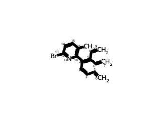 C=C/C=C\C(=C(C=C)C=C)c1nc(Br)ccc1C